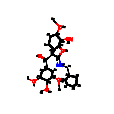 COc1cc(C(=O)c2c(NCc3ccccc3)oc3c(O)c(OC)ccc23)cc(OC)c1OC